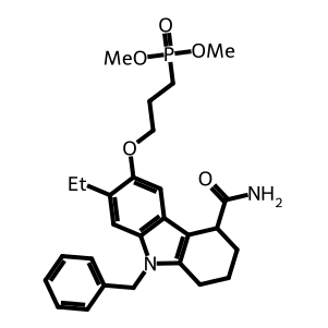 CCc1cc2c(cc1OCCCP(=O)(OC)OC)c1c(n2Cc2ccccc2)CCCC1C(N)=O